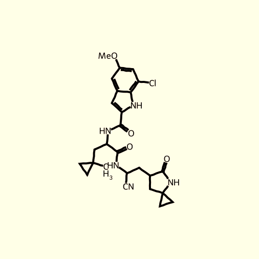 COc1cc(Cl)c2[nH]c(C(=O)NC(CC3(C)CC3)C(=O)NC(C#N)CC3CC4(CC4)NC3=O)cc2c1